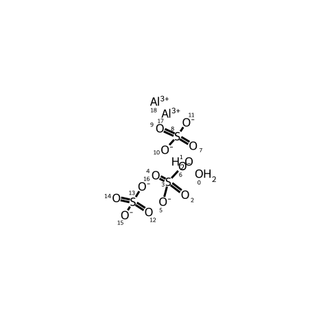 O.O.O=S(=O)([O-])[O-].O=S(=O)([O-])[O-].O=S(=O)([O-])[O-].[Al+3].[Al+3]